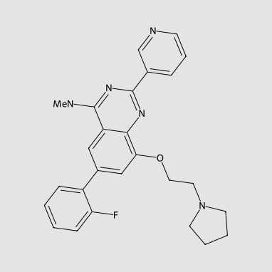 CNc1nc(-c2cccnc2)nc2c(OCCN3CCCC3)cc(-c3ccccc3F)cc12